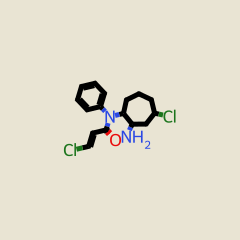 NC1CC(Cl)CCCC1N(C(=O)C=CCl)c1ccccc1